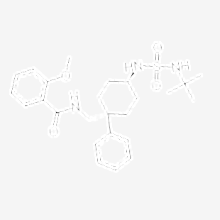 COc1ccccc1C(=O)NC[C@]1(c2ccccc2)CC[C@@H](NS(=O)(=O)NC(C)(C)C)CC1